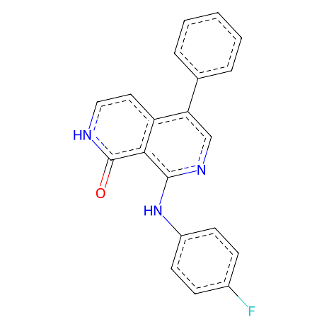 O=c1[nH]ccc2c(-c3ccccc3)cnc(Nc3ccc(F)cc3)c12